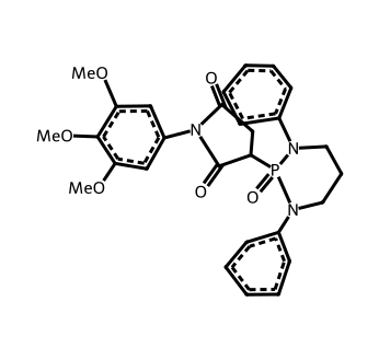 COc1cc(N2C(=O)CC(P3(=O)N(c4ccccc4)CCCN3c3ccccc3)C2=O)cc(OC)c1OC